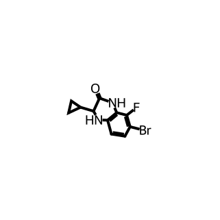 O=C1Nc2c(ccc(Br)c2F)NC1C1CC1